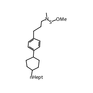 CCCCCCCC1CCC(c2ccc(CCCN(C)SOC)cc2)CC1